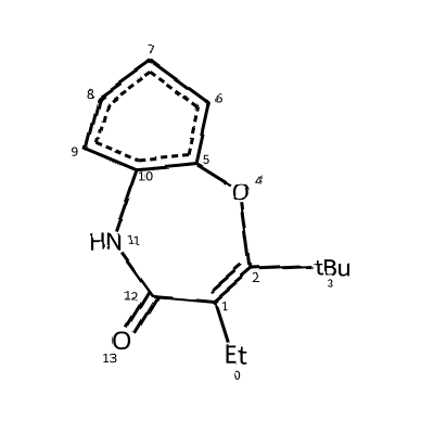 CCC1=C(C(C)(C)C)Oc2ccccc2NC1=O